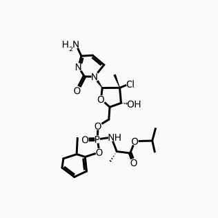 CC(C)OC(=O)[C@H](C)NP(=O)(OCC1O[C@@H](n2ccc(N)nc2=O)[C@](C)(Cl)[C@@H]1O)OC1=CC=CCC1C